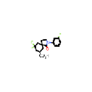 O=C(O)[C@@H]1CC(F)(F)CC2(CCN(c3cccc(F)c3)C2=O)C1